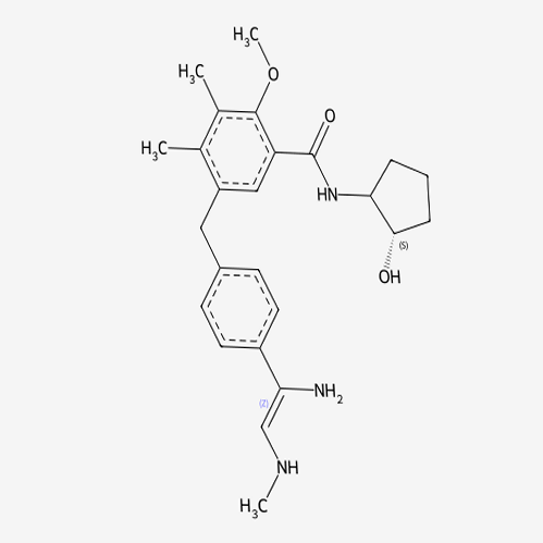 CN/C=C(\N)c1ccc(Cc2cc(C(=O)NC3CCC[C@@H]3O)c(OC)c(C)c2C)cc1